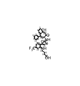 O=C1Nc2ccccc2C(c2ccccc2)=N[C@H]1Nc1ncc(-c2ncc(C(F)(F)F)cc2NCCCCO)o1